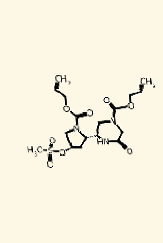 C=CCOC(=O)N1CC(=O)NC([C@@H]2C[C@@H](OS(C)(=O)=O)CN2C(=O)OCC=C)C1